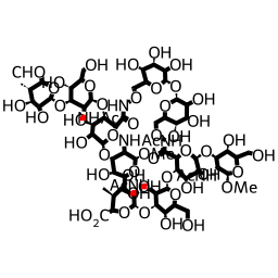 CO[C@@H]1OC(CO)[C@@H](O)[C@H](O[C@@H]2OC(C(=O)NOCC3O[C@H](O[C@H]4OC(CONC(=O)C5O[C@@H](O[C@@H]6C(NC(C)=O)[C@H](OC)OC(CO)[C@H]6O)C(O)[C@@H](O)[C@@H]5O[C@@H]5OC(CO)[C@@H](O)[C@H](O[C@@H]6OC(C(=O)O)[C@@H](C)[C@H](O)C6O)C5NC(C)=O)[C@@H](O)[C@H](O)C4O)C(O)[C@@H](O)[C@@H]3O)[C@@H](O[C@@H]3OC(CO)[C@@H](O)[C@H](O[C@@H]4OC(C=O)[C@@H](C)[C@H](O)C4O)C3NC(C)=O)[C@H](O)C2O)C1NC(C)=O